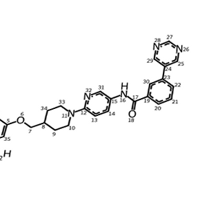 O=C(O)C1=CCCC(OCC2CCN(c3ccc(NC(=O)c4cccc(-c5cncnc5)c4)cn3)CC2)=C1